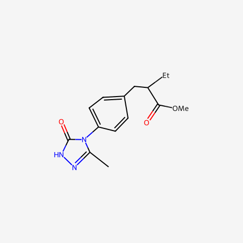 CCC(Cc1ccc(-n2c(C)n[nH]c2=O)cc1)C(=O)OC